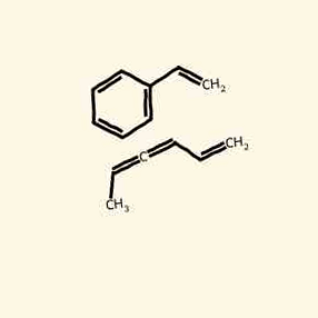 C=CC=C=CC.C=Cc1ccccc1